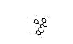 COc1ccc(-c2c3n(c4c(=O)oc5cc(OC)c(OC)cc5c24)CCc2cc(OC)c(OC)cc2C3=O)cc1OC